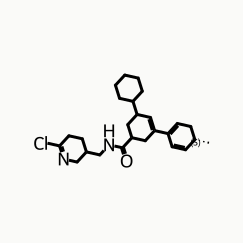 C[C@@H]1C=CC(C2=CC(C3CCCCC3)CC(C(=O)NCC3CCC(Cl)=NC3)C2)=CC1